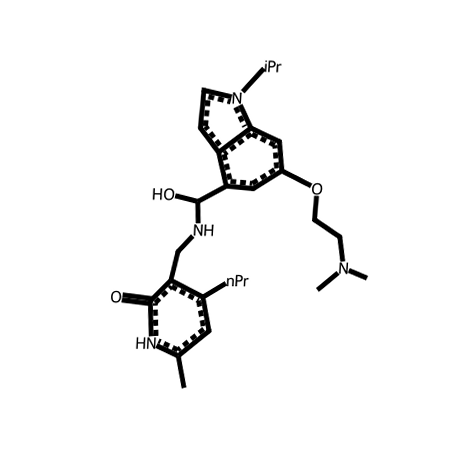 CCCc1cc(C)[nH]c(=O)c1CNC(O)c1cc(OCCN(C)C)cc2c1ccn2C(C)C